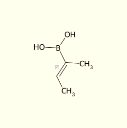 C/C=C(\C)B(O)O